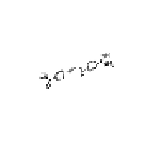 N=C(N)c1ccc(NCC#Cc2ccc(C(=O)N3CCC3)cc2)cc1